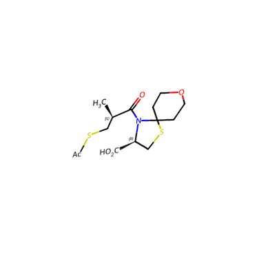 CC(=O)SC[C@@H](C)C(=O)N1[C@H](C(=O)O)CSC12CCOCC2